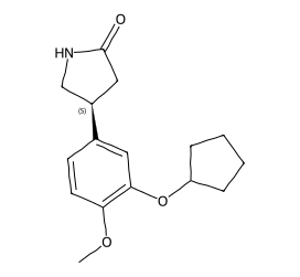 COc1ccc([C@H]2CNC(=O)C2)cc1OC1CCCC1